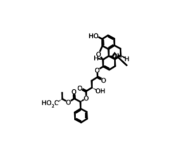 C[C@H](OC(=O)[C@@H](OC(=O)[C@@H](O)CC(=O)OC1=CC[C@@]2(O)[C@H]3Cc4ccc(O)c5c4[C@@]2(CCN3C)[C@H]1O5)c1ccccc1)C(=O)O